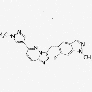 Cn1cc(-c2ccc3ncc(Cc4cc5cnn(C)c5cc4F)n3n2)cn1